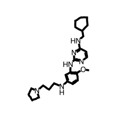 COc1ccc(NCCCN2CCCC2)cc1Nc1nccc(NCC2CCCCC2)n1